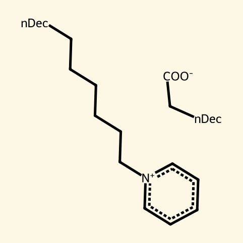 CCCCCCCCCCCC(=O)[O-].CCCCCCCCCCCCCCCC[n+]1ccccc1